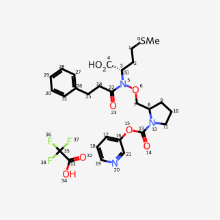 CSCC[C@@H](C(=O)O)N(OCC1CCCN1C(=O)Oc1cccnc1)C(=O)CCc1ccccc1.O=C(O)C(F)(F)F